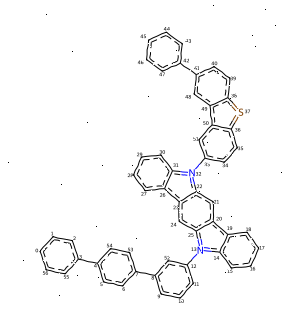 c1ccc(-c2ccc(-c3cccc(-n4c5ccccc5c5cc6c(cc54)c4ccccc4n6-c4ccc5sc6ccc(-c7ccccc7)cc6c5c4)c3)cc2)cc1